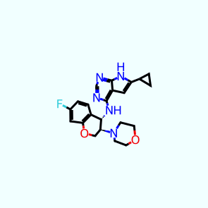 Fc1ccc2c(c1)OC[C@H](N1CCOCC1)[C@H]2Nc1ncnc2[nH]c(C3CC3)cc12